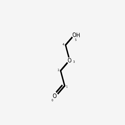 O=CCOCO